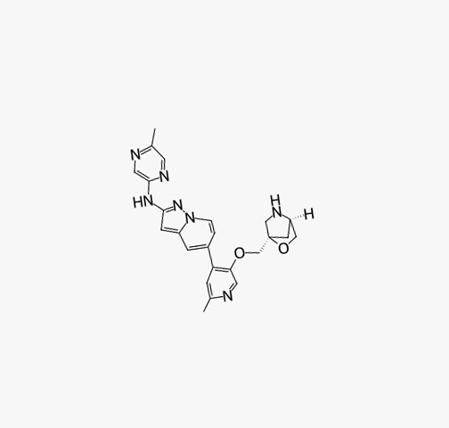 Cc1cnc(Nc2cc3cc(-c4cc(C)ncc4OC[C@@]45CN[C@@H](CO4)C5)ccn3n2)cn1